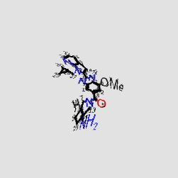 COc1cc(C(=O)N2C[C@@H]3CC[C@]3(N)C2)cc2nc(-c3cc4cccnc4n3CC3CC3)n(C)c12